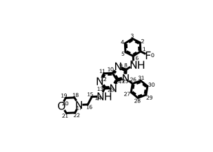 Fc1ccccc1Nc1nc2cnc(NCCN3CCOCC3)nc2n1-c1ccccc1